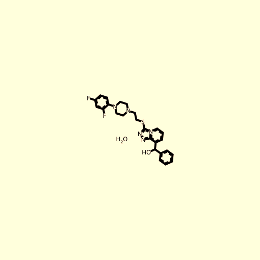 O.OC(c1ccccc1)c1cccn2c(SCCN3CCN(c4ccc(F)cc4F)CC3)nnc12